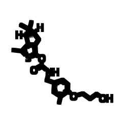 Cc1cc(CNC(=O)Oc2sc(C)c3c2C[C@@H]2[C@H]3C2(C)C)ccc1OCCCO